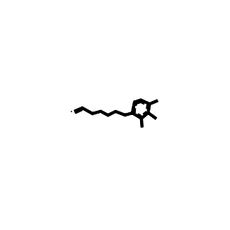 [CH]=CCCCCCc1ccc(C)c(C)c1C